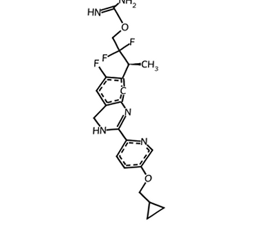 C[C@@H](c1cc2c(cc1F)CNC(c1ccc(OCC3CC3)cn1)=N2)C(F)(F)COC(=N)N